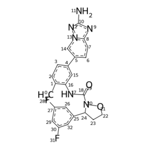 Cc1ccc(-c2ccc3nc(N)nn3c2)cc1NC(=O)N1OCCC1c1cc(F)cc(F)c1